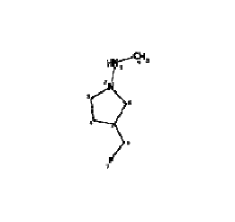 CNN1CCC(CF)C1